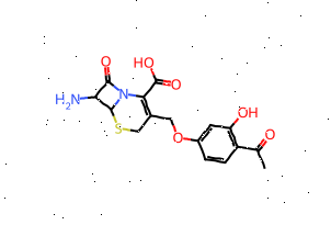 CC(=O)c1ccc(OCC2=C(C(=O)O)N3C(=O)C(N)C3SC2)cc1O